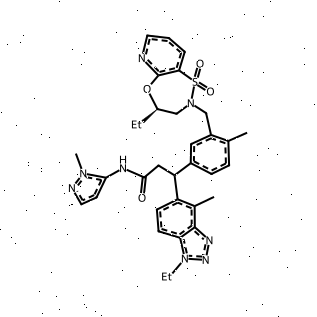 CC[C@@H]1CN(Cc2cc(C(CC(=O)Nc3ccnn3C)c3ccc4c(nnn4CC)c3C)ccc2C)S(=O)(=O)c2cccnc2O1